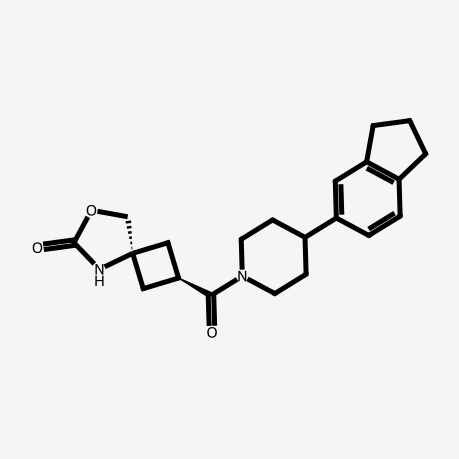 O=C1N[C@]2(CO1)C[C@H](C(=O)N1CCC(c3ccc4c(c3)CCC4)CC1)C2